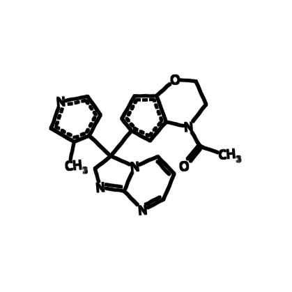 CC(=O)N1CCOc2ccc(C3(c4ccncc4C)CN=C4N=CC=CN43)cc21